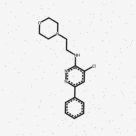 Clc1cc(-c2ccccc2)nnc1NCCN1CCOCC1